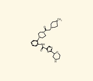 CN1CCN(CC(=O)N2CCN(c3ccccc3NC(=O)c3csc(C4CNCCO4)n3)CC2)CC1